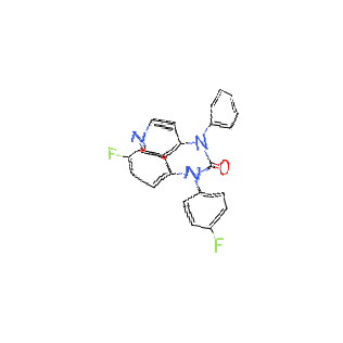 O=C(N(c1ccccc1)c1ccncc1)N(c1ccc(F)cc1)c1ccc(F)cc1